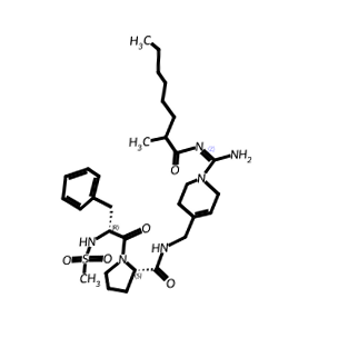 CCCCCCC(C)C(=O)/N=C(/N)N1CC=C(CNC(=O)[C@@H]2CCCN2C(=O)[C@@H](Cc2ccccc2)NS(C)(=O)=O)CC1